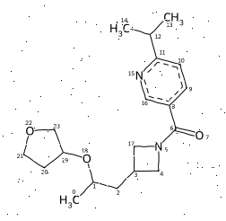 CC(CC1CN(C(=O)c2ccc(C(C)C)nc2)C1)OC1CCOC1